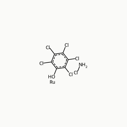 NCl.Oc1c(Cl)c(Cl)c(Cl)c(Cl)c1Cl.[Ru]